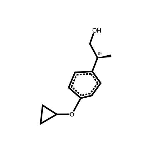 C[C@H](CO)c1ccc(OC2CC2)cc1